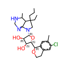 CCCC1(CC)CN([C@@H]2O[C@H]([C@@H]3OCCc4cc(Cl)c(C)cc43)[C@@H](O)[C@H]2O)C2=NCNC(C)C21